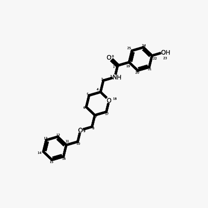 O=C(NCC1CCC(COCc2ccccc2)CO1)c1ccc(O)cc1